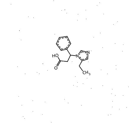 CCc1cncn1C(CC(=O)O)c1ccccc1